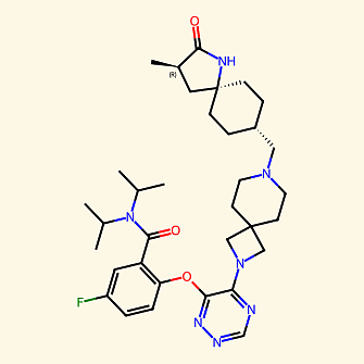 CC(C)N(C(=O)c1cc(F)ccc1Oc1nncnc1N1CC2(CCN(C[C@H]3CC[C@]4(CC3)C[C@@H](C)C(=O)N4)CC2)C1)C(C)C